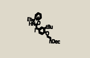 CCCCCCCCCCCCOc1ccc(CC(=O)NC(CC)[n+]2ccccc2)cc1C(C)(C)C.[I-]